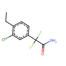 CCc1ccc(C(F)(F)C(N)=O)cc1Cl